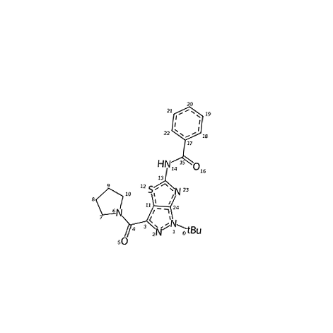 CC(C)(C)n1nc(C(=O)N2CCCC2)c2sc(NC(=O)c3ccccc3)nc21